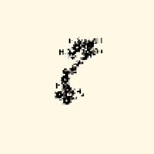 Cc1ncsc1-c1ccc([C@H](C)NC(=O)[C@@H]2C[C@@H](O)CN2C(=O)[C@@H](NC(=O)CCOCCOCCNC(=O)c2ccc(Nc3ncc4c(n3)N(C3CCCC3)c3ccccc3C(=O)N4C)cc2)C(C)(C)C)cc1